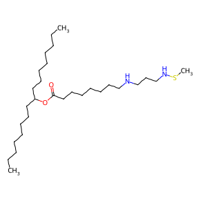 CCCCCCCCC(CCCCCCCC)OC(=O)CCCCCCCNCCCNSC